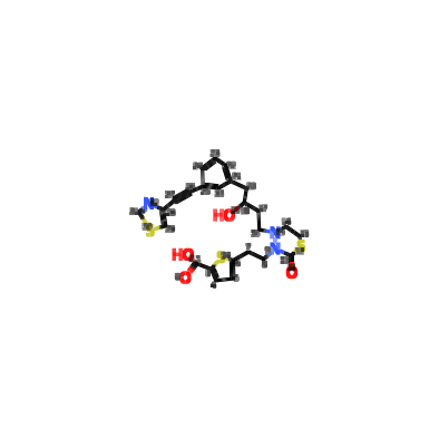 O=C(O)c1ccc(CCN2C(=O)SCCN2CCC(O)Cc2cccc(C#Cc3cscn3)c2)s1